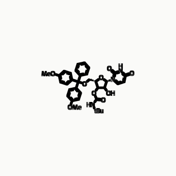 COc1ccc(C(OC[C@@H]2O[C@H](n3ccc(=O)[nH]c3=O)C(O)C2OC(=O)NC(C)(C)C)(c2ccccc2)c2ccc(OC)cc2)cc1